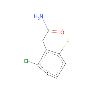 NC(=O)Cc1c(F)cccc1Cl